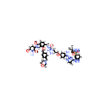 Cc1cnc(Nc2ccc(OCCCNC(=O)NCc3ccc4c(c3OCc3ccc(CN5CCOCC5)cc3)CN([C@H]3CCC(=O)NC3=O)C4=O)cc2)nc1Nc1cccc(S(=O)(=O)NC(C)(C)C)c1